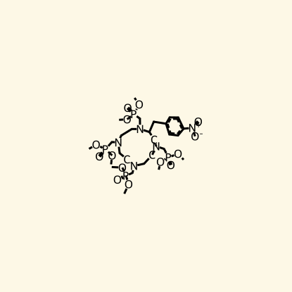 COP(=O)(CN1CCN(CP(=O)(OC)OC)CCN(CP(=O)(OC)OC)C(Cc2ccc([N+](=O)[O-])cc2)CN(CP(=O)(OC)OC)CC1)OC